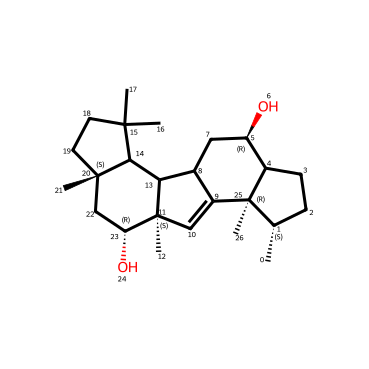 C[C@H]1CCC2[C@H](O)CC3C(=C[C@]4(C)C3C3C(C)(C)CC[C@@]3(C)C[C@H]4O)[C@@]21C